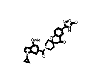 COc1cc(C(=O)N2CCC3(CC2)CC(=O)c2cc(-c4noc(=O)[nH]4)ccc2O3)cc2c1ccn2C1CC1